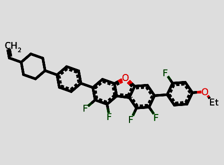 C=CC1CCC(c2ccc(-c3cc4oc5cc(-c6ccc(OCC)cc6F)c(F)c(F)c5c4c(F)c3F)cc2)CC1